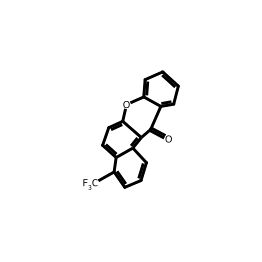 O=c1c2ccccc2oc2ccc3c(C(F)(F)F)cccc3c12